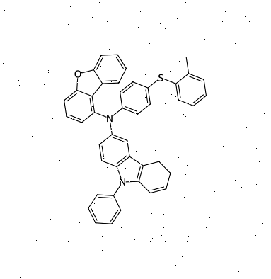 Cc1ccccc1Sc1ccc(N(c2ccc3c(c2)c2c(n3-c3ccccc3)C=CCC2)c2cccc3oc4ccccc4c23)cc1